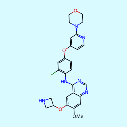 COc1cc2ncnc(Nc3ccc(Oc4ccnc(N5CCOCC5)c4)cc3F)c2cc1OC1CNC1